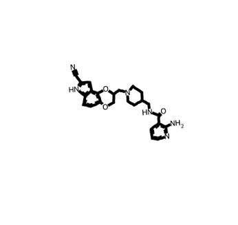 N#Cc1cc2c3c(ccc2[nH]1)OCC(CN1CCC(CNC(=O)c2cccnc2N)CC1)O3